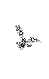 C[C@@H]1CC[C@@]23CCC(=O)[C@H]2[C@]1(C)[C@H](OC(=O)CSC1CCN(C(=O)CN)CC1)C[C@](C)(CNCc1ccc(CN)cc1)[C@@H](O)C3